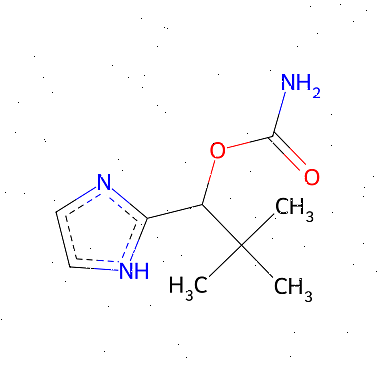 CC(C)(C)C(OC(N)=O)c1ncc[nH]1